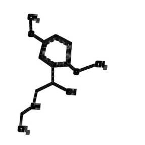 CCNCC(O)c1cc(OC)ccc1OC